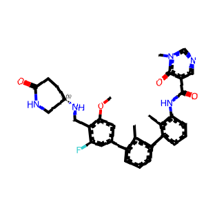 COc1cc(-c2cccc(-c3cccc(NC(=O)c4cncn(C)c4=O)c3C)c2C)cc(F)c1CN[C@H]1CCC(=O)NC1